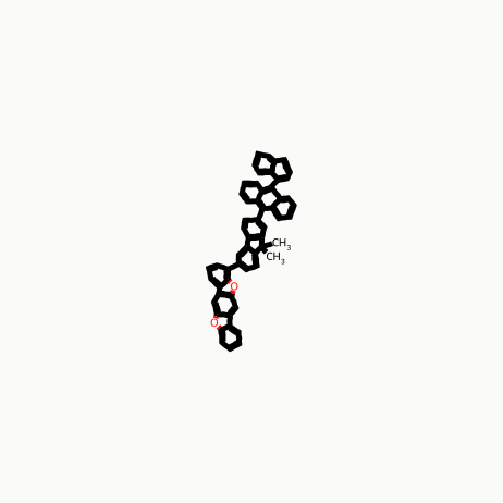 CC1(C)c2ccc(-c3cccc4c3oc3cc5c(cc34)oc3ccccc35)cc2-c2ccc(-c3c4ccccc4c(-c4cccc5ccccc45)c4ccccc34)cc21